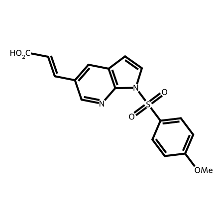 COc1ccc(S(=O)(=O)n2ccc3cc(C=CC(=O)O)cnc32)cc1